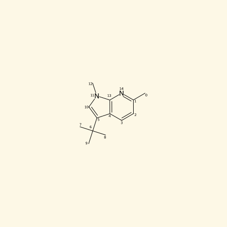 Cc1ccc2c(C(C)(C)C)cn(C)c2n1